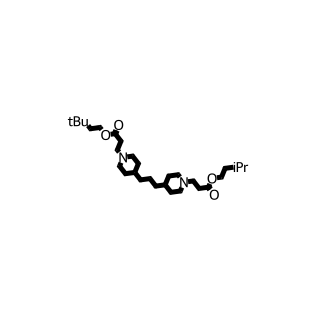 CC(C)CCOC(=O)CCN1CCC(CCCC2CCN(CCC(=O)OCCC(C)(C)C)CC2)CC1